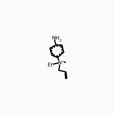 C=CC[N+](C)(CC)c1ccc(N)cc1